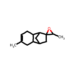 CC1=CCC2C(C1)C1CC2C2(C1)OC2C